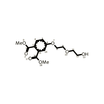 COC(=O)c1ccc(OCCOCCO)cc1C(=O)OC